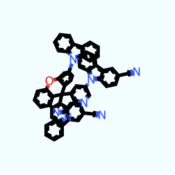 N#Cc1ccc2c(c1)c1ccccc1n2-c1cnc2c(c1)C1(c3ccc(-n4c5ccccc5c5ccccc54)cc3Oc3cccc(-n4c5ccccc5c5cc(C#N)ccc54)c31)c1cccnc1-2